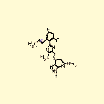 C/C=C/c1cc(F)cc(F)c1-c1nc(CSc2cc(N)nc3[nH]nnc23)c(C)o1